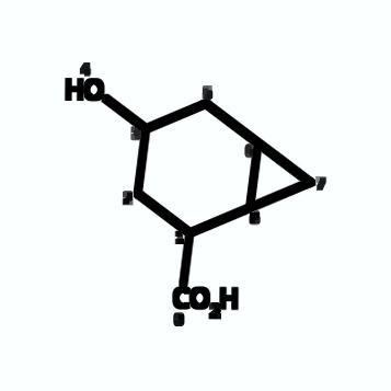 O=C(O)C1CC(O)CC2CC21